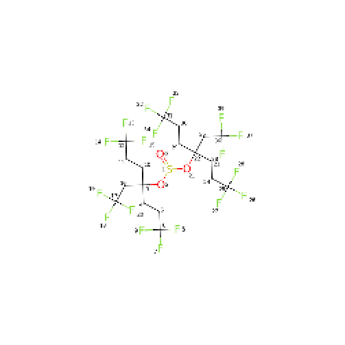 O=S(OC(CCC(F)(F)F)(CCC(F)(F)F)CC(F)(F)F)OC(CCC(F)(F)F)(CCC(F)(F)F)CC(F)(F)F